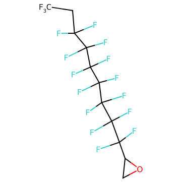 FC(F)(F)CC(F)(F)C(F)(F)C(F)(F)C(F)(F)C(F)(F)C(F)(F)C(F)(F)C1CO1